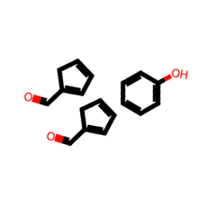 O=CC1=CC=CC1.O=CC1=CC=CC1.Oc1ccccc1